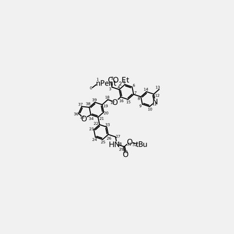 CCCCCC.CCOC(=O)Cc1ccc(-c2ccnc(C)c2)cc1OCc1cc(-c2cccc(CNC(=O)OC(C)(C)C)c2)c2occc2c1